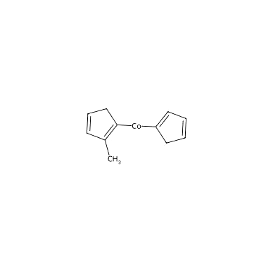 CC1=[C]([Co][C]2=CC=CC2)CC=C1